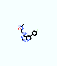 Cc1noc(CNc2ncnc3ncc(-c4ccc(F)cc4)cc23)n1